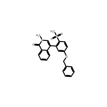 Cn1cc(-c2cc(OCc3ccccc3)ccc2S(C)(=O)=O)c2ccccc2c1=O